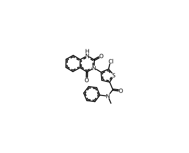 CN(C(=O)c1cc(-n2c(=O)[nH]c3ccccc3c2=O)c(Cl)s1)c1ccccc1